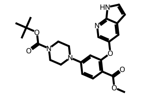 COC(=O)c1ccc(N2CCN(C(=O)OC(C)(C)C)CC2)cc1Oc1cnc2[nH]ccc2c1